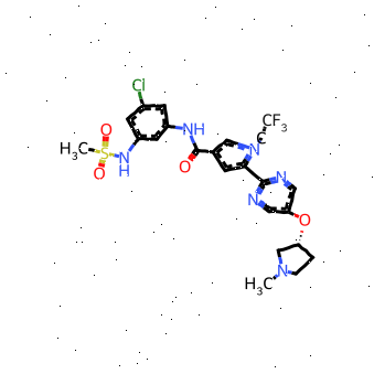 CN1CC[C@@H](Oc2cnc(-c3cc(C(=O)Nc4cc(Cl)cc(NS(C)(=O)=O)c4)cn3CC(F)(F)F)nc2)C1